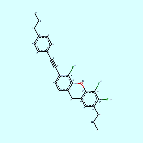 CCCc1ccc(C#Cc2ccc3c(c2F)Oc2c(cc(CCC)c(F)c2F)C3)cc1